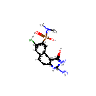 CCN(CC)S(=O)(=O)c1cc2c(ccc3nc(N)[nH]c(=O)c32)cc1Br